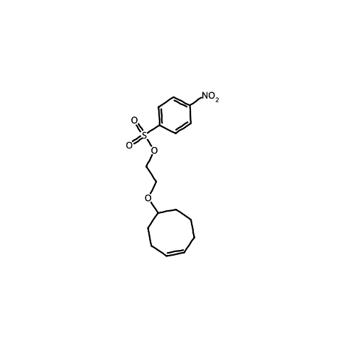 O=[N+]([O-])c1ccc(S(=O)(=O)OCCOC2CCC=CCCC2)cc1